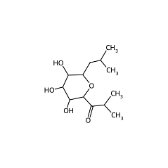 CC(C)CC1OC(C(=O)C(C)C)C(O)C(O)C1O